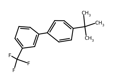 CC(C)(C)c1ccc(-c2cccc(C(F)(F)F)c2)cc1